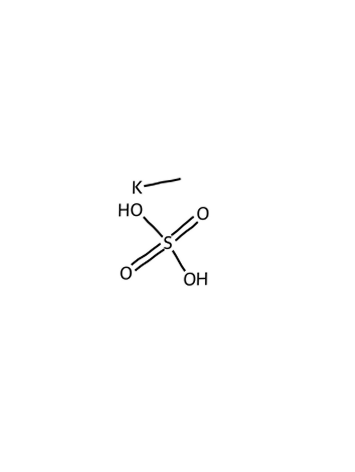 O=S(=O)(O)O.[CH3][K]